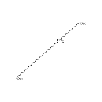 CCCCCCCCCCCCCCCCCCCCCCCCCCCCCCCCOC(=O)CCCCCCCCCCCCCCCCCCC